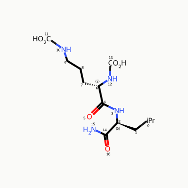 CC(C)C[C@H](NC(=O)[C@H](CCCNC(=O)O)NC(=O)O)C(N)=O